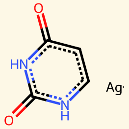 O=c1cc[nH]c(=O)[nH]1.[Ag]